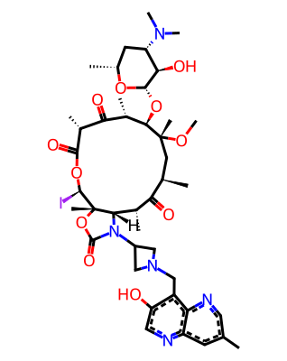 CO[C@]1(C)C[C@@H](C)C(=O)[C@H](C)[C@@H]2N(C3CN(Cc4c(O)cnc5cc(C)cnc45)C3)C(=O)O[C@]2(C)[C@@H](I)OC(=O)[C@H](C)C(=O)[C@H](C)[C@H]1O[C@@H]1O[C@H](C)C[C@H](N(C)C)[C@H]1O